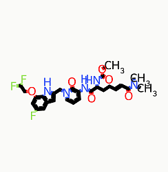 COC(=O)NC(CCC=CC(=O)N(C)C)C(=O)Nc1cccn(Cc2cc3cc(F)cc(OCC(F)F)c3[nH]2)c1=O